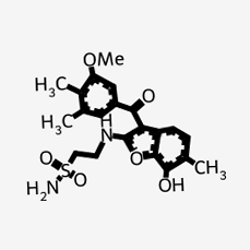 COc1cc(C(=O)c2c(NCCS(N)(=O)=O)oc3c(O)c(C)ccc23)cc(C)c1C